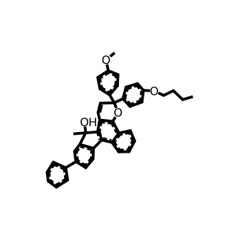 CCCCOc1ccc(C2(c3ccc(OC)cc3)C=Cc3c4c(c5ccccc5c3O2)-c2ccc(-c3ccccc3)cc2C4(C)O)cc1